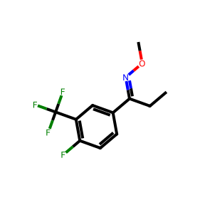 CCC(=NOC)c1ccc(F)c(C(F)(F)F)c1